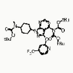 CN(C(=O)OC(C)(C)C)C1CCC(n2nc(Oc3cc(C(F)(F)F)ccn3)c3c(N(C(=O)OC(C)(C)C)C(=O)OC(C)(C)C)ncnc32)CC1